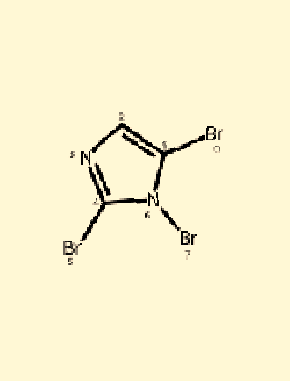 Brc1cnc(Br)n1Br